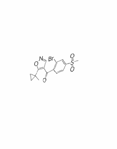 CC1(c2oncc2C(=O)c2ccc(S(C)(=O)=O)cc2Br)CC1